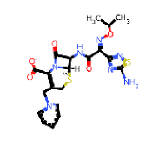 CC(C)ON=C(C(=O)NC1C(=O)N2C(C(=O)[O-])=C(C[n+]3ccccc3)CS[C@@H]12)c1nsc(N)n1